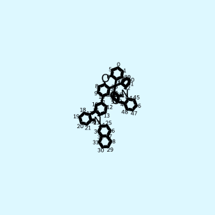 c1ccc2c(c1)Oc1ccc(-c3ccc4c(c3)c3ccccc3n4-c3ccc4ccccc4c3)cc1C21c2ccccc2-n2c3ccccc3c3cccc1c32